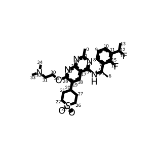 Cc1nc(N[C@H](C)c2cccc(C(C)F)c2F)c2cc(C3CCS(=O)(=O)CC3)c(OCCN(C)C)nc2n1